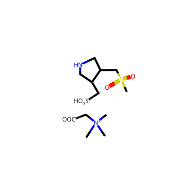 CS(=O)(=O)CC1CNCC1CS(=O)(=O)O.C[N+](C)(C)CC(=O)[O-]